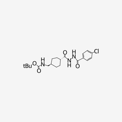 CC(C)(C)OC(=O)NC[C@H]1CC[C@H](C(=O)NNC(=O)c2ccc(Cl)cc2)CC1